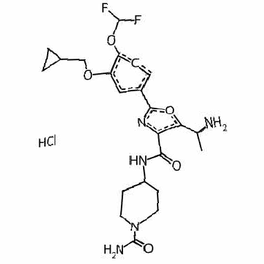 CC(N)c1oc(-c2ccc(OC(F)F)c(OCC3CC3)c2)nc1C(=O)NC1CCN(C(N)=O)CC1.Cl